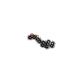 c1ccc2c(-c3c4ccccc4c(-c4ccc(-c5ccc6cc7c(cc6c5)sc5cc6oc8ccccc8c6cc57)c5ccccc45)c4ccccc34)cccc2c1